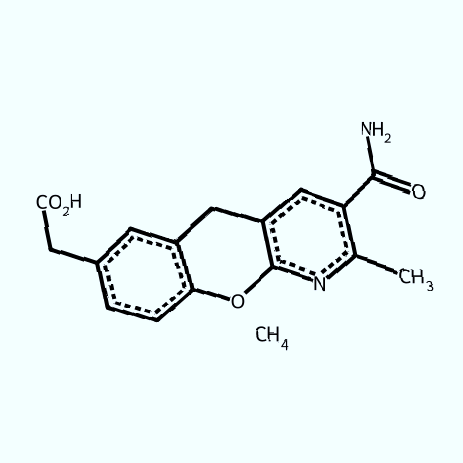 C.Cc1nc2c(cc1C(N)=O)Cc1cc(CC(=O)O)ccc1O2